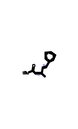 CC(=C/C(=O)C(C)(C)C)/C=C/c1ccccc1